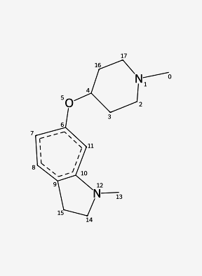 CN1CCC(Oc2ccc3c(c2)N(C)CC3)CC1